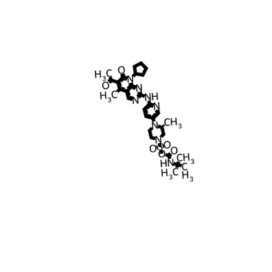 CC(=O)c1c(C)c2cnc(Nc3ccc(N4CCN(S(=O)(=O)OC(=O)NC(C)(C)C)C[C@@H]4C)cn3)nc2n(C2CCCC2)c1=O